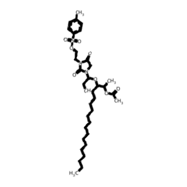 CCCCCCCCCCCCCCCC(OC(CC)N1CC(=O)N(CCOS(=O)(=O)c2ccc(C)cc2)C1=O)C(C)OC(C)=O